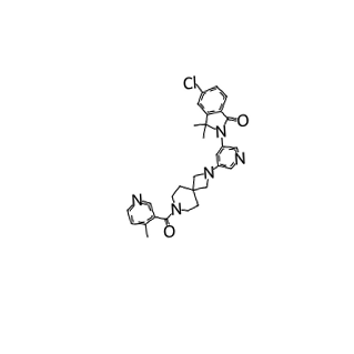 Cc1ccncc1C(=O)N1CCC2(CC1)CN(c1cncc(N3C(=O)c4ccc(Cl)cc4C3(C)C)c1)C2